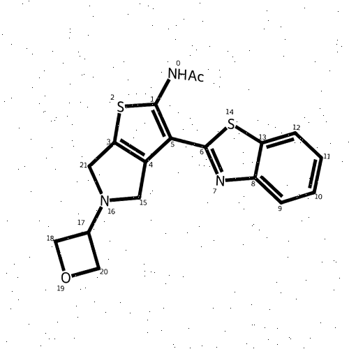 CC(=O)Nc1sc2c(c1-c1nc3ccccc3s1)CN(C1COC1)C2